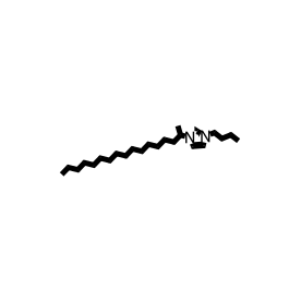 CCCCCCCCCCCCCCCC(C)[n+]1ccn(CCCC)c1